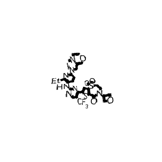 CCc1nc(N(I)CC2COCCN2C)ccc1Nc1ncc(C(F)(F)F)c(-c2cc3c(s2)C(=O)N(C2COC2)CCS3(=O)=O)n1